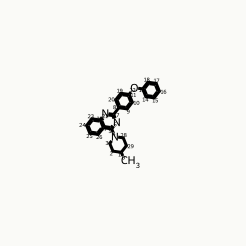 CC1CCN(c2nc(-c3ccc(Oc4ccccc4)cc3)nc3ccccc23)CC1